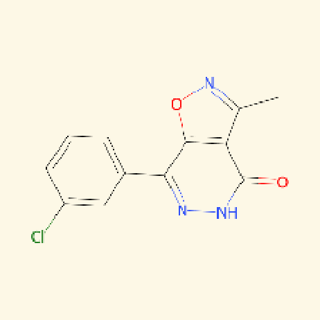 Cc1noc2c(-c3cccc(Cl)c3)n[nH]c(=O)c12